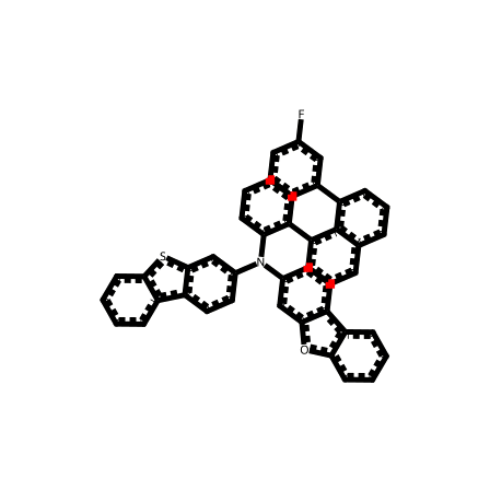 Fc1cccc(-c2cccc3cccc(-c4ccccc4N(c4ccc5c(c4)oc4ccccc45)c4ccc5c(c4)sc4ccccc45)c23)c1